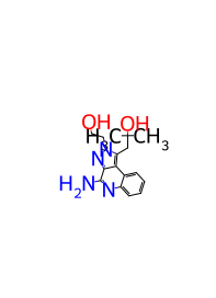 CC(C)(O)Cc1c2c(nn1CCO)c(N)nc1ccccc12